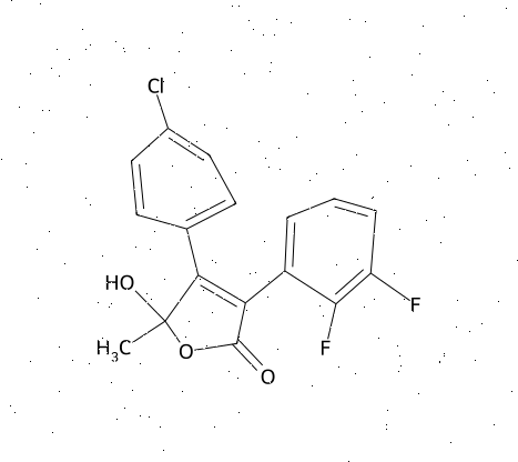 CC1(O)OC(=O)C(c2cccc(F)c2F)=C1c1ccc(Cl)cc1